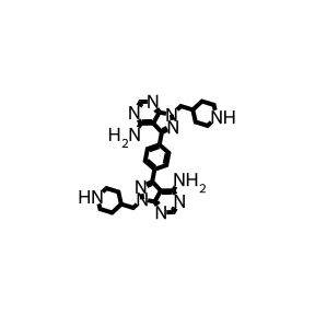 Nc1ncnc2c1c(-c1ccc(-c3nn(CC4CCNCC4)c4ncnc(N)c34)cc1)nn2CC1CCNCC1